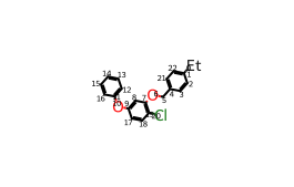 CCc1ccc(COc2cc(Oc3ccccc3)ccc2Cl)cc1